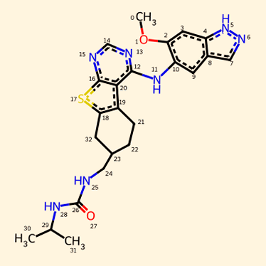 COc1cc2[nH]ncc2cc1Nc1ncnc2sc3c(c12)CCC(CNC(=O)NC(C)C)C3